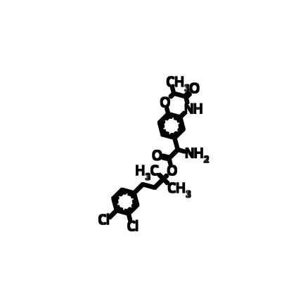 CC1Oc2ccc(C(N)C(=O)OC(C)(C)CCc3ccc(Cl)c(Cl)c3)cc2NC1=O